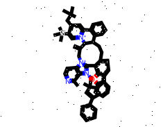 C=C1C[n+]2c(n(CC3(C)C=C(c4ccccc4)C=C3C)c3c(C)nccc32)-c2c(ccc3c2oc2ccccc23)CCC2c3ccccc3-c3cc(CC(C)(C)C)c([Si](C)(C)C)c[n+]3C12